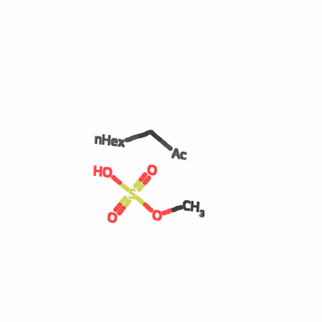 CCCCCCCC(C)=O.COS(=O)(=O)O